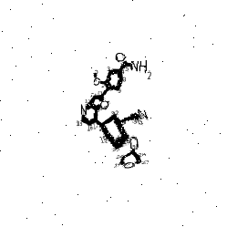 COc1cc(C(N)=O)ccc1-c1cc2nccc(-c3ccc(OC4CCOCC4)c(C#N)c3)c2o1